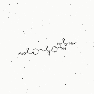 CCCCCCOC(=O)NC(=N)c1ccc(NC(=O)CCC2CCN(CC(=O)OC)CC2)cc1